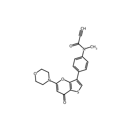 C#CC(=O)N(C)c1ccc(-c2csc3c(=O)cc(N4CCOCC4)oc23)cc1